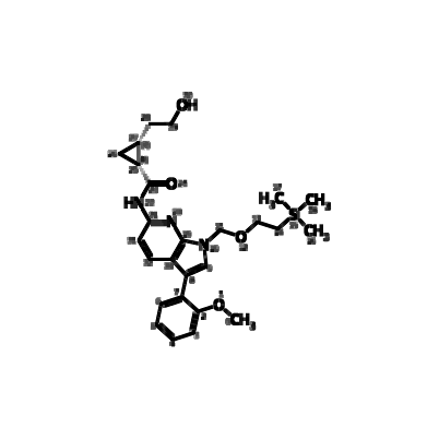 COc1ccccc1-c1cn(COCC[Si](C)(C)C)c2nc(NC(=O)[C@@H]3C[C@@H]3CCO)ccc12